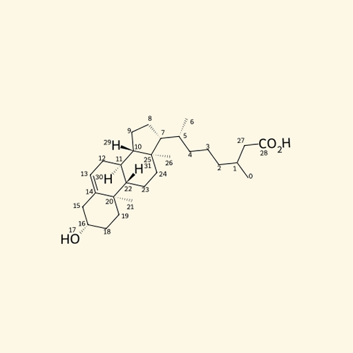 CC(CCC[C@@H](C)[C@H]1CC[C@H]2[C@@H]3CC=C4C[C@@H](O)CC[C@]4(C)[C@H]3CC[C@]12C)CC(=O)O